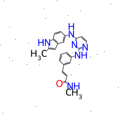 CNC(=O)/C=C/c1cccc(Nc2nccc(Nc3ccc4[nH]c(C)cc4c3)n2)c1